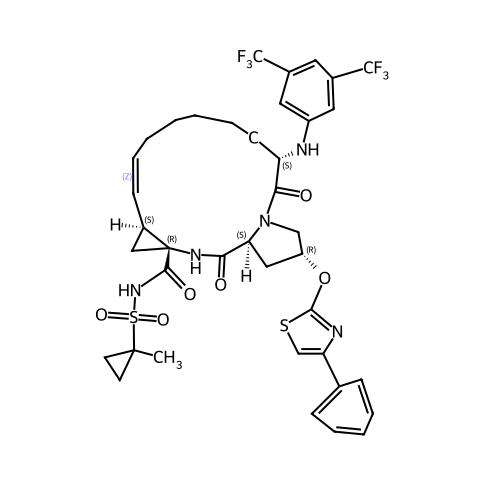 CC1(S(=O)(=O)NC(=O)[C@@]23C[C@H]2/C=C\CCCCC[C@H](Nc2cc(C(F)(F)F)cc(C(F)(F)F)c2)C(=O)N2C[C@H](Oc4nc(-c5ccccc5)cs4)C[C@H]2C(=O)N3)CC1